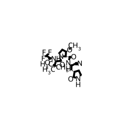 CO[C@@H]1CCN(C(=O)C(NC(=O)C(F)(F)F)C(C)(C)C)[C@H]1C(=O)NC(C#N)C[C@@H]1CCNC1=O